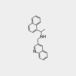 CC(NCc1cnc2ccccc2c1)c1cccc2ccccc12